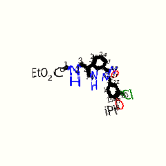 CCOC(=O)CNCc1c[nH]c2c(-c3noc(-c4ccc(OC(C)C)c(Cl)c4)n3)cccc12